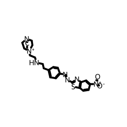 O=[N+]([O-])c1ccc2sc(N=Nc3ccc(CCNCC[N+]45CCN(CC4)CC5)cc3)nc2c1